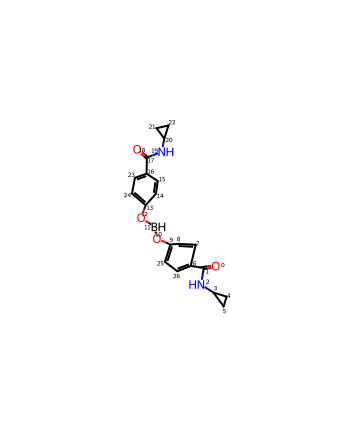 O=C(NC1CC1)c1ccc(OBOc2ccc(C(=O)NC3CC3)cc2)cc1